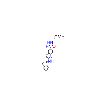 COCCNC(=O)Nc1ccc2nc(N[C@@H]3CCc4ccccc43)ccc2c1